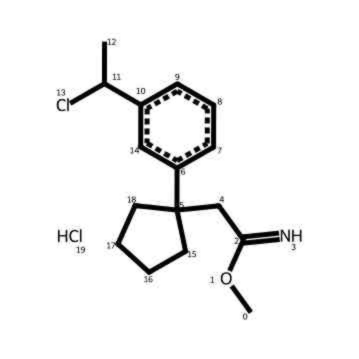 COC(=N)CC1(c2cccc(C(C)Cl)c2)CCCC1.Cl